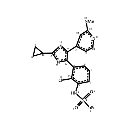 CCCS(=O)(=O)Nc1cccc(-c2nc(C3CC3)sc2-c2ccnc(NC)c2)c1Cl